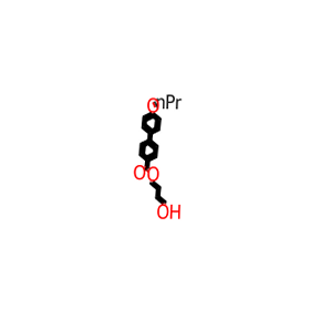 CCCOc1ccc(-c2ccc(C(=O)OCCCCO)cc2)cc1